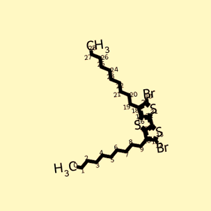 CCCCCCCCCCc1c(Br)sc2c1sc1c(CCCCCCCCCC)c(Br)sc12